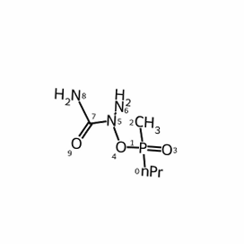 CCCP(C)(=O)ON(N)C(N)=O